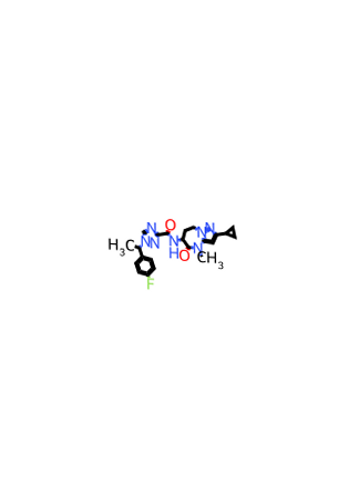 CC(c1ccc(F)cc1)n1cnc(C(=O)NC2CCn3nc(C4CC4)cc3N(C)C2=O)n1